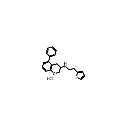 Cl.c1ccc(-c2cccc3c2CC(NCCc2cccs2)CO3)cc1